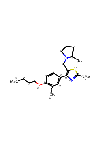 CCC1CCCN1Cc1sc(NC)nc1-c1ccc(OCCCOC)c(C(F)(F)F)c1